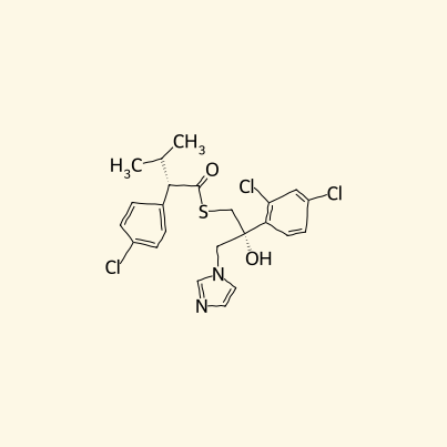 CC(C)[C@H](C(=O)SC[C@](O)(Cn1ccnc1)c1ccc(Cl)cc1Cl)c1ccc(Cl)cc1